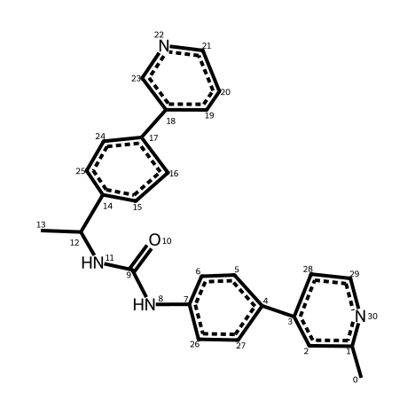 Cc1cc(-c2ccc(NC(=O)NC(C)c3ccc(-c4cccnc4)cc3)cc2)ccn1